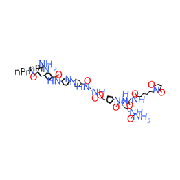 CCCN(CCC)C(=O)C1=Cc2ccc(C(=O)Nc3ccc(N4CCC(C(=O)NCCNC(=O)OCc5ccc(NC(=O)[C@H](CCCNC(N)=O)NC(=O)CNC(=O)CCCCCN6C(=O)C=CC6=O)cc5)CC4)nc3)cc2N=C(N)C1